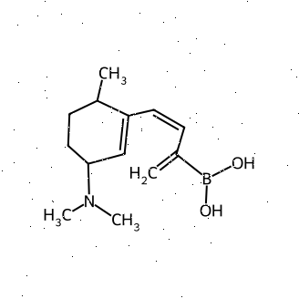 C=C(/C=C\C1=CC(N(C)C)CCC1C)B(O)O